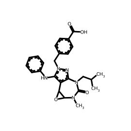 CC(C)CN1C(=O)N(C)C2OC2c2c1nn(Cc1ccc(C(=O)O)cc1)c2Nc1ccccc1